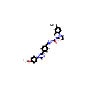 COc1ccc(N2CCS/C2=N\C(=O)N/N=C/c2ccc(-c3ncn(-c4ccc(OC(F)(F)F)cc4)n3)cc2)c(C)c1